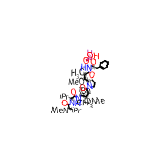 CCC(C)[C@@H]([C@@H](CC(=O)N1CCC[C@H]1[C@H](OC)[C@H](C)C(=O)N[C@H](Cc1ccccc1)O[PH](=O)O)OC)N(C)C(=O)[C@@H](NC(=O)[C@@H](NC)C(C)C)C(C)C